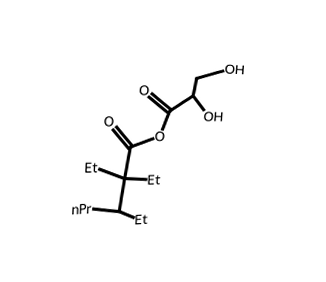 CCCC(CC)C(CC)(CC)C(=O)OC(=O)C(O)CO